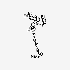 CCN(CC)c1ccc2c(c1)OC1=CC(N(CC)CC)C=CC1=C2c1ccc(S(=O)(=O)NCCOCCOCCOCCOCCC(=O)NC)cc1S(=O)(=O)O